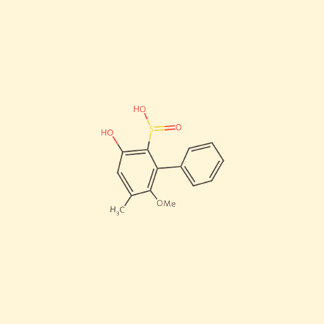 COc1c(C)cc(O)c(S(=O)O)c1-c1ccccc1